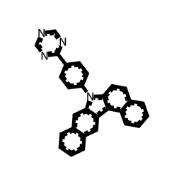 c1ccc2cc3c(cc2c1)c1c2ccccc2ccc1n3-c1ccc(-c2ncncn2)cc1